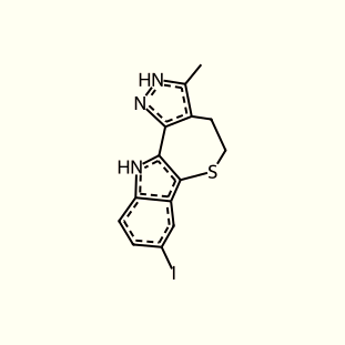 Cc1[nH]nc2c1CCSc1c-2[nH]c2ccc(I)cc12